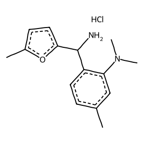 Cc1ccc(C(N)c2ccc(C)o2)c(N(C)C)c1.Cl